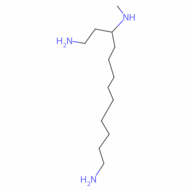 CNC(CCN)CCCCCCCCCN